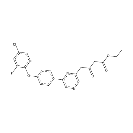 CCOC(=O)CC(=O)Cc1cncc(-c2ccc(Oc3ncc(Cl)cc3F)cc2)n1